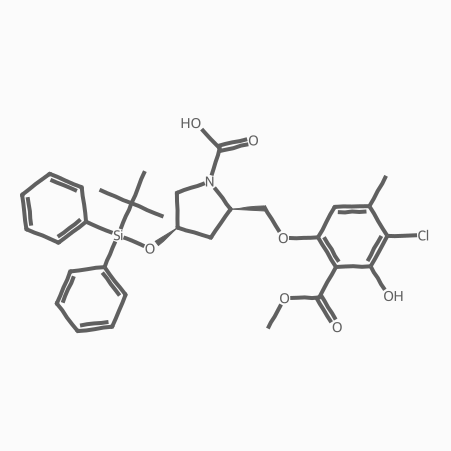 COC(=O)c1c(OC[C@H]2C[C@@H](O[Si](c3ccccc3)(c3ccccc3)C(C)(C)C)CN2C(=O)O)cc(C)c(Cl)c1O